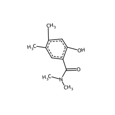 Cc1cc(O)c(C(=O)N(C)C)cc1C